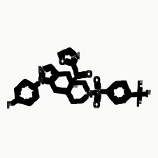 O=C(c1ncco1)[C@]12Cc3cnn(-c4ccc(F)cc4)c3C=C1CCN(S(=O)(=O)c1ccc(C(F)(F)F)cc1)C2